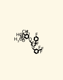 CC(O)c1c(F)cc(OCCCN(Cc2cccc(C(F)(F)F)c2)CC(F)(F)c2ccc(F)cc2)cc1S(C)(=O)=O